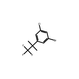 CC(C)(c1cc(Cl)cc(Br)c1)C(F)(F)F